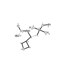 CC(C)O[Si](C)(C)C[C@@H](N[S@@+]([O-])C(C)(C)C)C1COC1